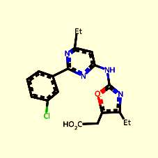 CCc1cc(Nc2nc(CC)c(CC(=O)O)o2)nc(-c2cccc(Cl)c2)n1